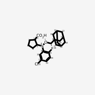 O=C(O)C1CCCC1N(OCC12CC3CC(CC(C3)C1)C2)c1cc(Cl)ccc1F